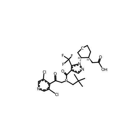 CC(C)(C)CN(CC(=O)c1c(Cl)cncc1Cl)C(=O)c1cnn([C@@H]2CCCC[C@H]2CC(=O)O)c1C(F)(F)F